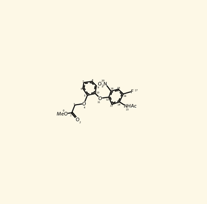 COC(=O)COc1ccccc1Oc1cc(NC(C)=O)c(F)cc1[N+](=O)[O-]